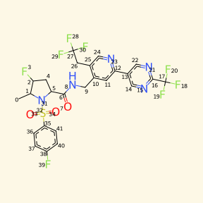 CC1C(F)CC(C(=O)NCc2cc(-c3cnc(C(F)(F)F)nc3)ncc2CC(F)(F)F)N1S(=O)(=O)c1ccc(F)cc1